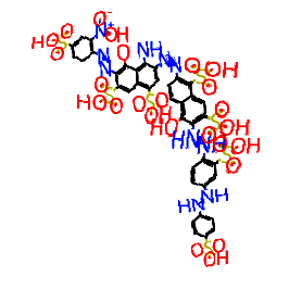 Nc1c(/N=N\c2ccc3c(O)c(NNc4ccc(NNc5ccc(S(=O)(=O)O)cc5)cc4S(=O)(=O)O)c(S(=O)(=O)O)cc3c2S(=O)(=O)O)cc(S(=O)(=O)O)c2cc(S(=O)(=O)O)c(N=NC3=C([N+](=O)[O-])C=C(S(=O)(=O)O)CC3)c(O)c12